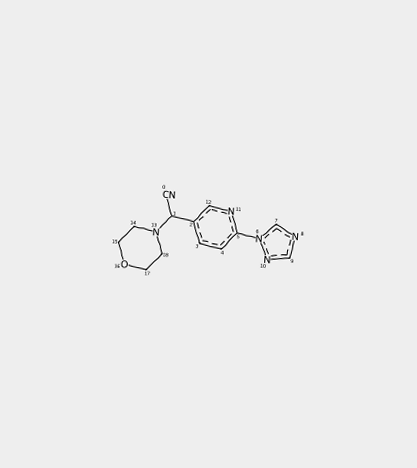 N#CC(c1ccc(-n2cncn2)nc1)N1CCOCC1